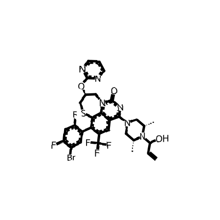 C=CC(O)N1[C@H](C)CN(c2nc(=O)n3c4c(c(-c5cc(Br)c(F)cc5F)c(C(F)(F)F)cc24)SC[C@@H](Oc2ncccn2)C3)C[C@@H]1C